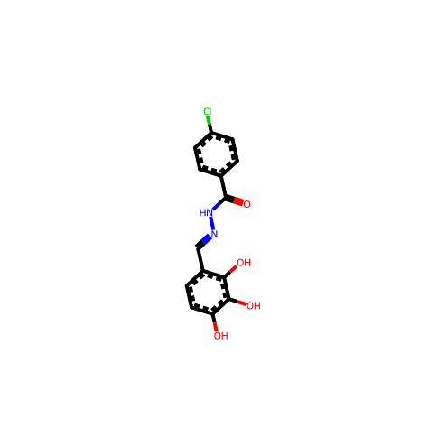 O=C(NN=Cc1ccc(O)c(O)c1O)c1ccc(Cl)cc1